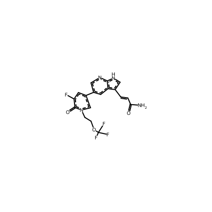 NC(=O)C=Cc1c[nH]c2ncc(-c3cc(F)c(=O)n(CCOC(F)(F)F)c3)cc12